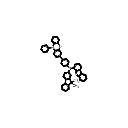 CC1(C)c2ccccc2-c2ccc(N(c3ccc(-c4ccc5c(c4)Oc4ccccc4N5c4ccccc4)cc3)c3cccc4c3sc3ccccc34)cc21